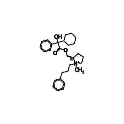 C[N+]1(CCCc2ccccc2)CCC[C@@H]1COC(=O)C(O)(c1ccccc1)C1CCCCC1